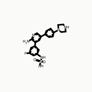 CCCS(=O)(=O)Nc1cc(F)cc(-c2cc(-c3ccc(N4CCNCC4)cc3)cnc2N)c1